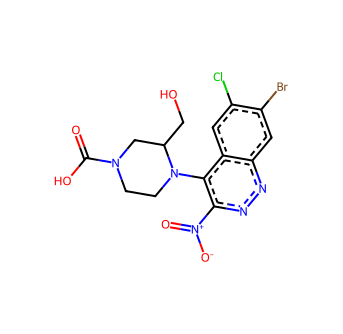 O=C(O)N1CCN(c2c([N+](=O)[O-])nnc3cc(Br)c(Cl)cc23)C(CO)C1